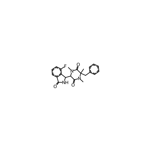 CN1C(=O)C(C)(Cc2ccccc2)N(C)C(=O)C1C1NC(=O)c2cccc(F)c21